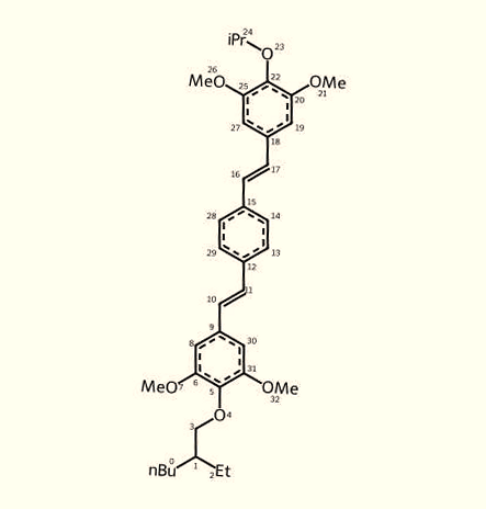 CCCCC(CC)COc1c(OC)cc(/C=C/c2ccc(/C=C/c3cc(OC)c(OC(C)C)c(OC)c3)cc2)cc1OC